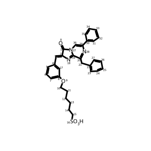 O=C1C(=Cc2cccc(OCCCCCCS(=O)(=O)O)c2)N=C2C(Cc3ccccc3)=NC(c3ccccc3)=CN12